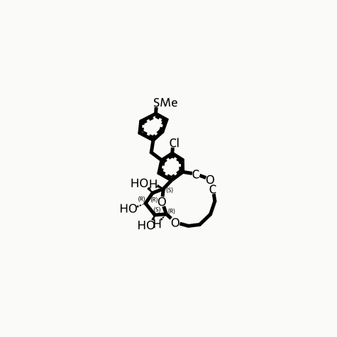 CSc1ccc(Cc2cc3c(cc2Cl)COCCCCCO[C@@H]2O[C@@H]3[C@H](O)[C@@H](O)[C@@H]2O)cc1